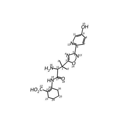 CC(C)(c1nc(-c2ccc(O)cn2)no1)C(N)C(=O)NC1=C(C(=O)O)CCCC1